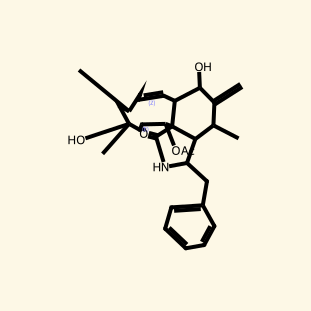 C=C1C(C)C2C(Cc3ccccc3)NC(=O)C23C(OC(C)=O)/C=C/C(C)(O)CC(C)C/C=C\C3C1O